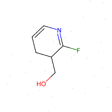 OCC1CC=CN=C1F